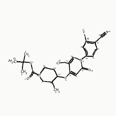 CC1CN(C(=O)OC(C)(C)C)CCC1Oc1cc(=O)n(-c2ccc(C#N)c(F)c2)cc1Cl